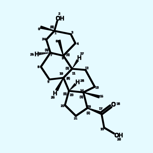 C[C@@]1(O)CC[C@@]2(C)[C@@H](CC[C@@H]3[C@@H]2CC[C@]2(C)[C@@H](C(=O)CO)CC[C@@H]32)C1